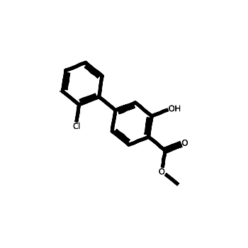 COC(=O)c1ccc(-c2ccc[c]c2Cl)cc1O